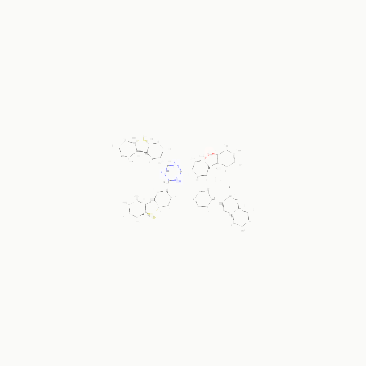 c1ccc2c(c1)-c1cc3ccccc3cc1CCC2c1cc(-c2nc(-c3ccc4sc5ccccc5c4c3)nc(-c3ccc4sc5ccccc5c4c3)n2)cc2oc3ccccc3c12